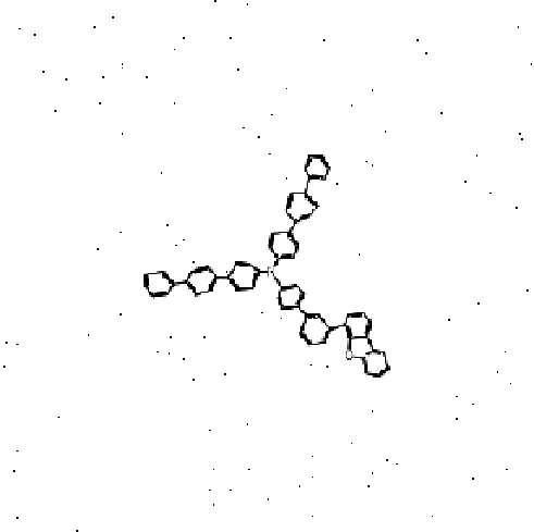 c1ccc(-c2ccc(-c3ccc(N(c4ccc(-c5ccc(-c6ccccc6)cc5)cc4)c4ccc(-c5cccc(-c6cccc7c6oc6ccccc67)c5)cc4)cc3)cc2)cc1